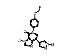 CCn1cc(-c2cn(-c3ccc(OCF)cc3)c(=O)c3c2ncn3CC)cn1